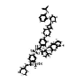 CC(C)Oc1ccccc1[C@@H]1CCCN1C1CC2(CCN(c3ccc(C(=O)NS(=O)(=O)c4ccc(NCC5CCOCC5)c([N+](=O)[O-])c4)c(N4c5cc6cc[nH]c6nc5O[C@@H]5COC[C@H]54)c3)CC2)C1